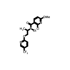 CCN(C(=O)c1ccc(OC)nc1Cl)C(C)COc1ccc(C(F)(F)F)cn1